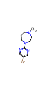 CN1CCCN(c2ncc(Br)cn2)CC1